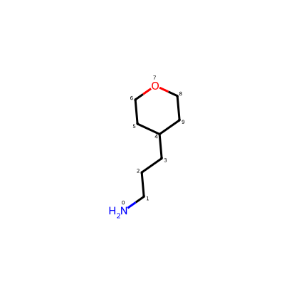 NCCCC1CCOCC1